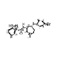 CN1CCN(Cc2ccc(Br)cc2)CC(NC(=O)c2n[nH]c3ccccc23)C1